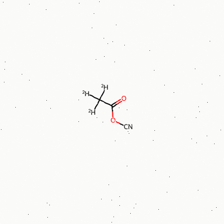 [2H]C([2H])([2H])C(=O)OC#N